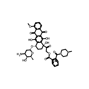 COc1cccc2c1C(=O)c1c(O)c3c(c(O)c1C2=O)[C@@](O)(C(=O)COC(=O)c1c(C(=O)N2CCN(C)CC2)c2ccc1o2)CC[C@@H]3O[C@H]1CC(N)[C@H](O)[C@H](C)O1